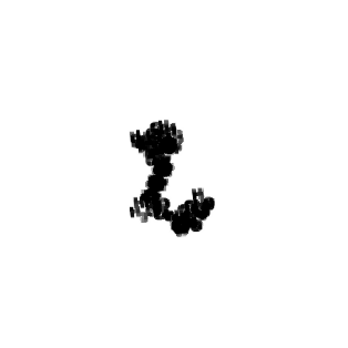 CC(OCCNc1cccc2c1C(=O)N(C1CCC(=O)NC1=O)C2=O)C(=O)C1CN(c2ccc(-c3ccc4c(c3)C(=O)N(C(C(=O)Nc3nccs3)c3cc(F)ccc3O[Si](C)(C)C(C)(C)C)C4)cc2)CCN1